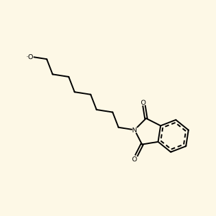 [O]CCCCCCCCN1C(=O)c2ccccc2C1=O